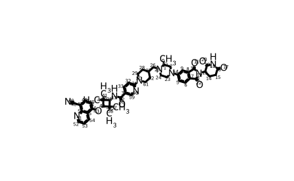 C[C@H]1CN(c2ccc3c(c2)C(=O)N(C2CCC(=O)NC2=O)C3=O)CCN1CC1CCN(c2ccc(C(=O)N[C@H]3C(C)(C)[C@H](Oc4ccc(C#N)c5ncccc45)C3(C)C)cn2)CC1